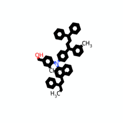 CC/C(=C/c1ccc(N(c2ccc(/C(=C/C=C(c3ccccc3)c3ccccc3)c3cccc(C)c3)cc2)c2ccc(CO)cc2C)c2ccccc12)c1ccccc1